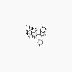 [2H]C(C(=O)N(C([2H])([2H])[2H])C([2H])([2H])[2H])c1c(-c2ccc(C)cc2)nc2ccc(C)cn12